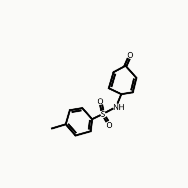 Cc1ccc(S(=O)(=O)NC2C=CC(=O)C=C2)cc1